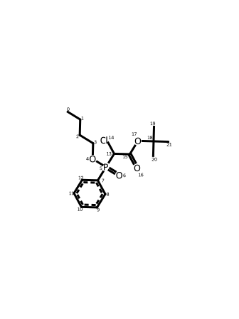 CCCCOP(=O)(c1ccccc1)C(Cl)C(=O)OC(C)(C)C